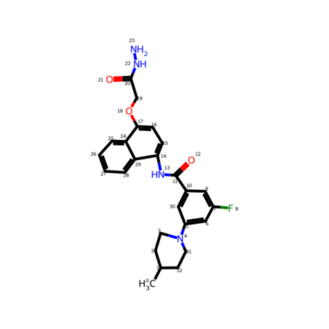 CC1CCN(c2cc(F)cc(C(=O)Nc3ccc(OCC(=O)NN)c4ccccc34)c2)CC1